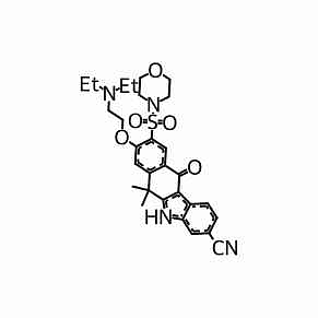 CCN(CC)CCOc1cc2c(cc1S(=O)(=O)N1CCOCC1)C(=O)c1c([nH]c3cc(C#N)ccc13)C2(C)C